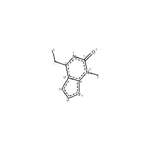 CCc1nc(=O)n(C)c2sccc12